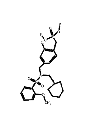 COc1ccccc1S(=O)(=O)N(Cc1ccc(CP(=O)(OF)OF)c(Cl)c1)CC1CCCCC1